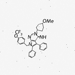 COC1CCC(n2cnc3c(c(-c4ccccc4)c(-c4ccccc4)n3Cc3ccc(OC(F)(F)F)cc3)c2=N)CC1